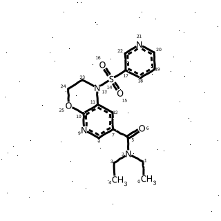 CCN(CC)C(=O)c1cnc2c(c1)N(S(=O)(=O)c1cccnc1)CCO2